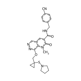 Cn1c(=O)c(C(=O)NCc2ccc(C#N)cc2)cc2cnnc(OCC3(SN4CCCC4)CC3)c21